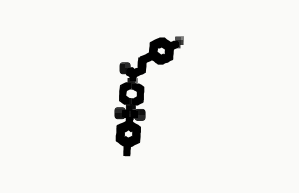 Cc1ccc(S(=O)(=O)N2CCN(C(=O)/C=C/c3ccc(F)cc3)CC2)cc1